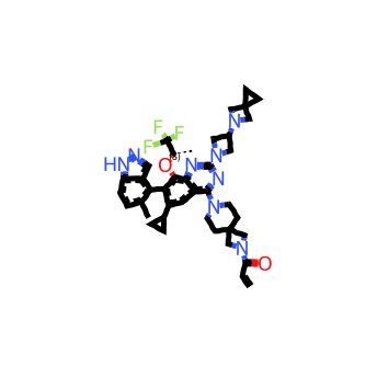 C=CC(=O)N1CC2(CCN(c3nc(N4CC(N5CC6(CC6)C5)C4)nc4c(O[C@@H](C)C(F)(F)F)c(-c5c(C)ccc6[nH]ncc56)c(C5CC5)cc34)CC2)C1